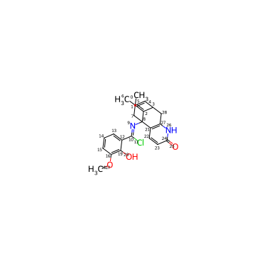 CC=C1C2C=C(C)CC1(N=C(Cl)c1cccc(OC)c1O)c1ccc(=O)[nH]c1C2